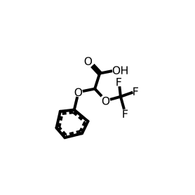 O=C(O)C(Oc1ccccc1)OC(F)(F)F